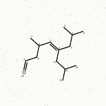 CC(C)CC(=CC(C)CC=O)CC(C)C